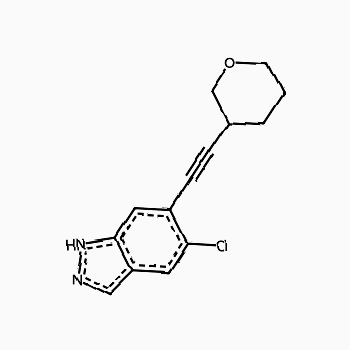 Clc1cc2cn[nH]c2cc1C#CC1CCCOC1